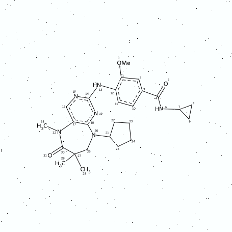 COc1cc(C(=O)NC2CC2)ccc1Nc1ncc2c(n1)N(C1CCCC1)CC(C)(C)C(=O)N2C